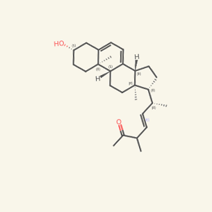 CC(=O)C(C)/C=C/[C@@H](C)[C@H]1CC[C@H]2C3=CC=C4C[C@@H](O)CC[C@]4(C)[C@H]3CC[C@]12C